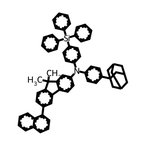 CC1(C)c2ccc(-c3cccc4ccccc34)cc2-c2ccc(N(c3ccc(C45CC6CC(CC(C6)C4)C5)cc3)c3ccc([Si](c4ccccc4)(c4ccccc4)c4ccccc4)cc3)cc21